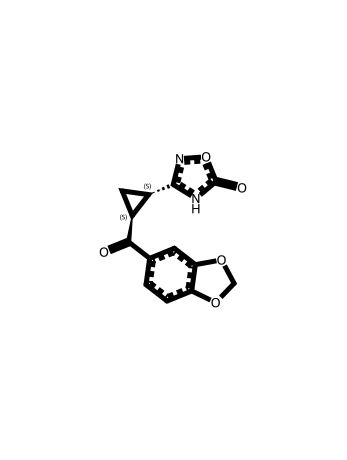 O=C(c1ccc2c(c1)OCO2)[C@H]1C[C@@H]1c1noc(=O)[nH]1